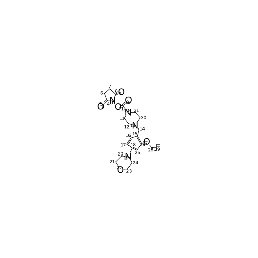 O=C(ON1C(=O)CCC1=O)N1CCN(Cc2ccc(N3CCOCC3)cc2OCF)CC1